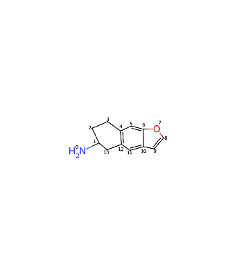 NC1CCc2cc3occc3cc2C1